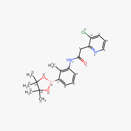 Cc1c(NC(=O)Cc2ncccc2Cl)cccc1B1OC(C)(C)C(C)(C)O1